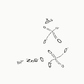 O=S(=O)([O-])[O-].O=S(=O)([O-])[O-].[Cl-].[Cl-].[Zn+2].[Zn+2].[Zn+2]